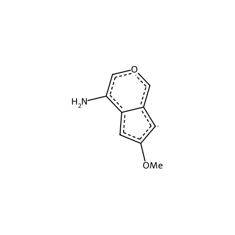 COc1[c]c2cocc(N)c-2c1